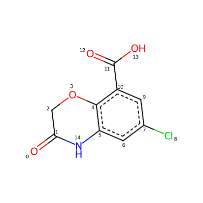 O=C1COc2c(cc(Cl)cc2C(=O)O)N1